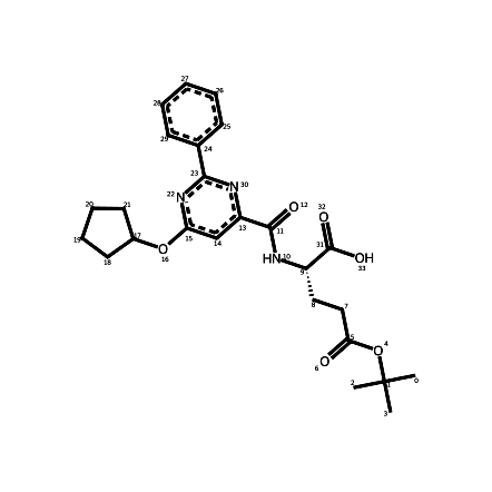 CC(C)(C)OC(=O)CC[C@H](NC(=O)c1cc(OC2CCCC2)nc(-c2ccccc2)n1)C(=O)O